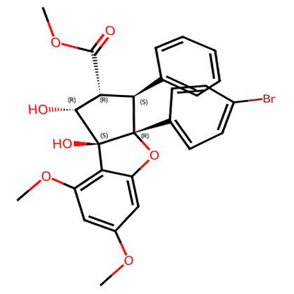 COC(=O)[C@H]1[C@@H](O)[C@@]2(O)c3c(OC)cc(OC)cc3O[C@@]2(c2ccc(Br)cc2)[C@@H]1c1ccccc1